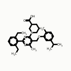 CCc1cccc(CC)c1-c1nc(C)c(COc2cc(C(C)C)ccc2C)c(N2CCCC(C(=O)O)C2)n1